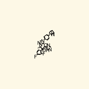 C[C@@H](n1ncn(-c2ccc(-n3cccn3)cc2)c1=O)[C@](O)(Cn1cncn1)c1ccc(F)cc1F